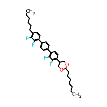 CCCCCCCC1OCC(c2ccc(-c3ccc(-c4ccc(CCCCCC)c(F)c4F)cc3)c(F)c2F)CO1